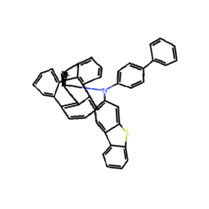 c1c(N(c2ccc(-c3ccccc3)cc2)c2ccc3c(c2)sc2ccccc23)cc2c(c#1)-c1cccc3c1-c1ccccc1-c1cccc-3c1-2